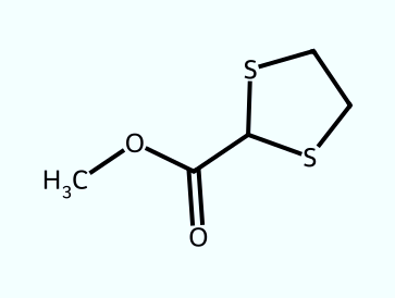 COC(=O)C1SCCS1